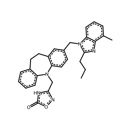 CCCc1nc2c(C)cccc2n1Cc1ccc2c(c1)CCc1ccccc1N2Cc1noc(=O)[nH]1